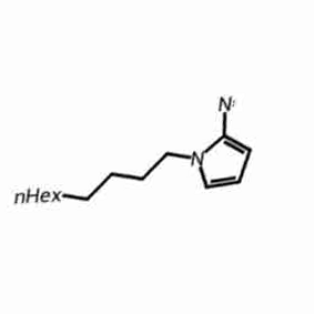 CCCCCCCCCCn1cccc1[N]